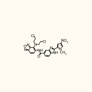 Cn1cc([N+](=O)[O-])cc1-c1nc2cc(C(=O)Nc3ccc4nonc4c3N(CCCl)CCCl)ccc2[nH]1